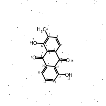 Cc1ccc2c(c1O)C(=O)c1cccc(O)c1C2=O